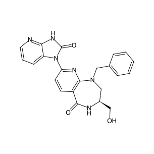 O=C1N[C@H](CO)CN(Cc2ccccc2)c2nc(-n3c(=O)[nH]c4ncccc43)ccc21